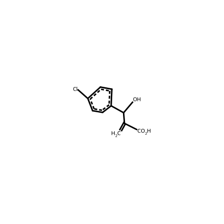 C=C(C(=O)O)C(O)c1ccc(Cl)cc1